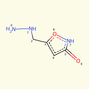 NNCc1cc(=O)[nH]o1